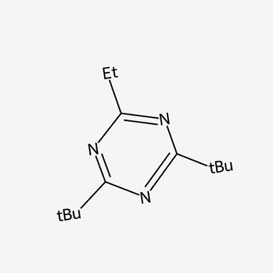 CCc1nc(C(C)(C)C)nc(C(C)(C)C)n1